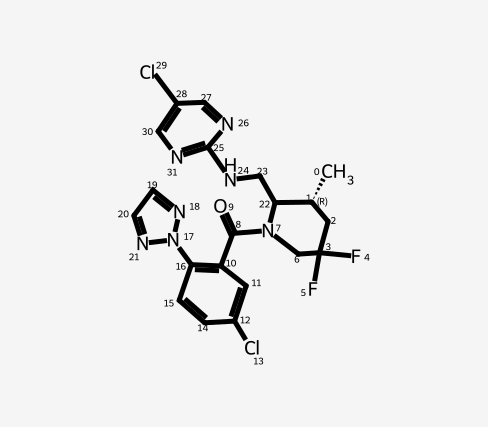 C[C@@H]1CC(F)(F)CN(C(=O)c2cc(Cl)ccc2-n2nccn2)C1CNc1ncc(Cl)cn1